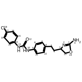 NC1=NC(CCc2ccc(NC(=O)Nc3ccc(Cl)cc3)cc2)CO1